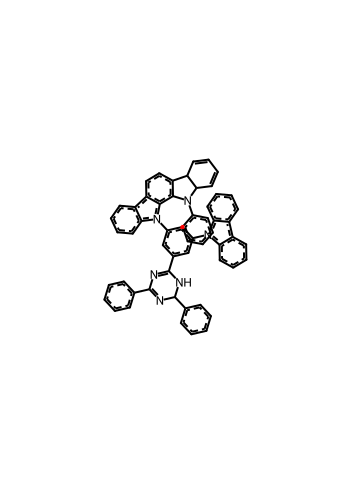 C1=CC2c3ccc4c5ccccc5n(-c5cc(C6=NC(c7ccccc7)=NC(c7ccccc7)N6)cc(-n6c7ccccc7c7ccccc76)c5)c4c3N(c3ccccc3)C2C=C1